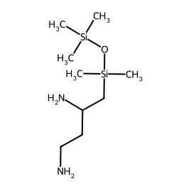 C[Si](C)(C)O[Si](C)(C)CC(N)CCN